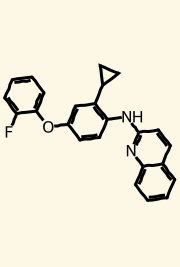 Fc1ccccc1Oc1ccc(Nc2ccc3ccccc3n2)c(C2CC2)c1